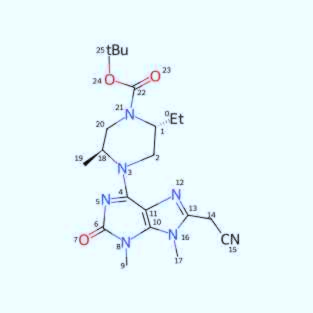 CC[C@@H]1CN(c2nc(=O)n(C)c3c2nc(CC#N)n3C)[C@@H](C)CN1C(=O)OC(C)(C)C